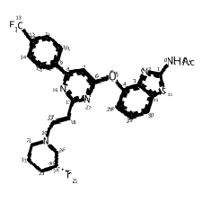 CC(=O)Nc1nc2c(Oc3cc(-c4ccc(C(F)(F)F)cc4)nc(CCN4CCC[C@@H](F)C4)n3)cccc2s1